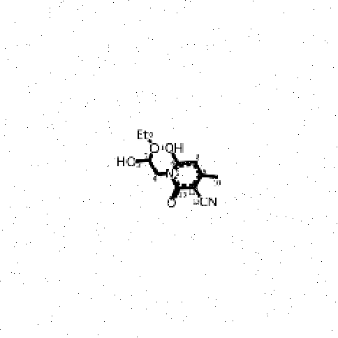 CCOC(O)Cn1c(O)cc(C)c(C#N)c1=O